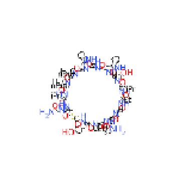 CCCC[C@H]1C(=O)N(C)[C@@H](CCCC)C(=O)N[C@@H](CC(C)C)C(=O)N[C@H](C(=O)NCC(N)=O)CSCC(=O)N[C@@H](Cc2ccc(O)cc2)C(=O)N(C)[C@@H](C)C(=O)N[C@@H](CC(N)=O)C(=O)N2CCC[C@H]2C(=O)N[C@@H](CC)C(=O)N[C@@H](CC(C)C)C(=O)N2C[C@H](O)C[C@H]2C(=O)NC(Cc2c[nH]c3ccccc23)C(=O)NC2(CC2)C(=O)N[C@@H](Cc2c[nH]c3ccccc23)C(=O)N1C